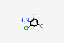 Nc1c(F)cc(Cl)cc1Cl